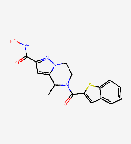 CC1c2cc(C(=O)NO)nn2CCN1C(=O)c1cc2ccccc2s1